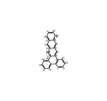 c1ccc(-c2cc3cc4ncccc4cc3nc2-c2ccccc2)cc1